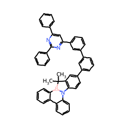 CC1(C)B2c3ccccc3-c3ccccc3N2c2ccc(-c3cccc(-c4cccc(-c5cc(-c6ccccc6)nc(-c6ccccc6)n5)c4)c3)cc21